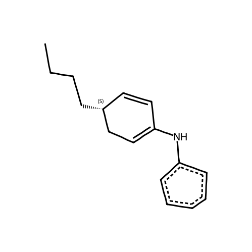 CCCC[C@@H]1C=CC(Nc2ccccc2)=CC1